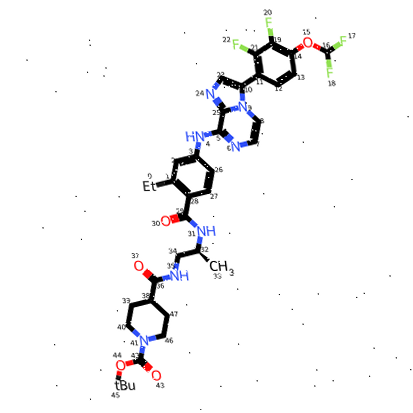 CCc1cc(Nc2nccn3c(-c4ccc(OC(F)F)c(F)c4F)cnc23)ccc1C(=O)N[C@@H](C)CNC(=O)C1CCN(C(=O)OC(C)(C)C)CC1